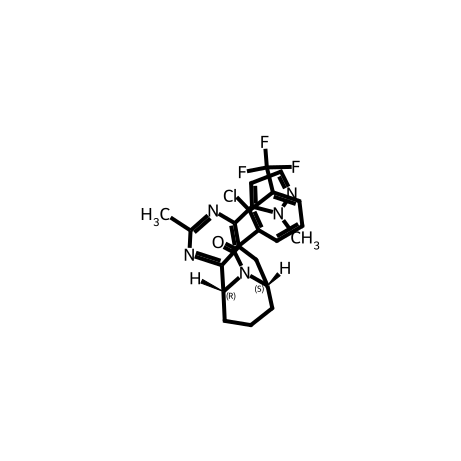 Cc1nc(-c2ccnn2C)c2c(n1)[C@H]1CCC[C@@H](C2)N1C(=O)c1cccc(C(F)(F)F)c1Cl